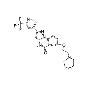 Cn1c(=O)c2cc(OCCN3CCOCC3)ccc2n2nc(-c3ccnc(C(F)(F)F)c3)cc12